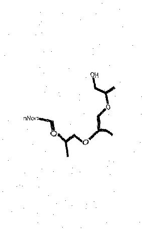 CCCCCCCCCCOC(C)COC(C)COC(C)CO